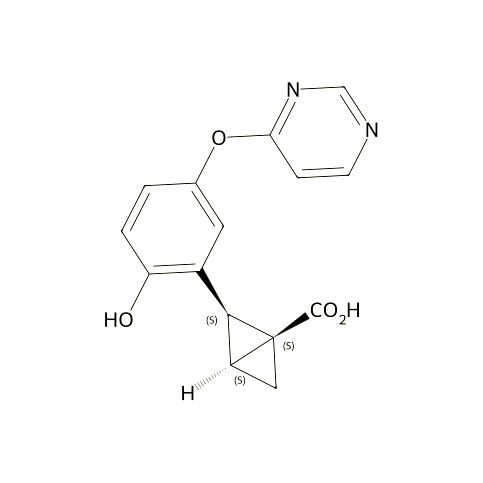 O=C(O)[C@@]12C[C@H]1[C@H]2c1cc(Oc2ccncn2)ccc1O